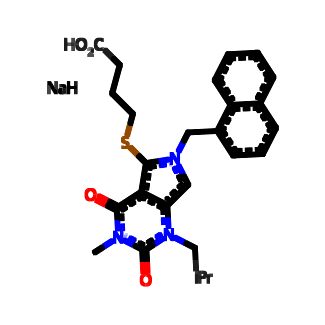 CC(C)Cn1c(=O)n(C)c(=O)c2c(SCCCC(=O)O)n(Cc3cccc4ccccc34)cc21.[NaH]